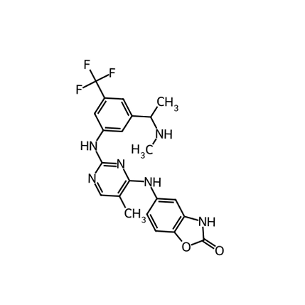 CNC(C)c1cc(Nc2ncc(C)c(Nc3ccc4oc(=O)[nH]c4c3)n2)cc(C(F)(F)F)c1